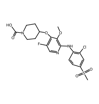 COc1c(Nc2ccc(S(C)(=O)=O)cc2Cl)ncc(F)c1OC1CCN(C(=O)O)CC1